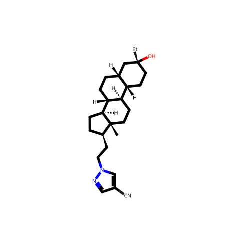 CC[C@@]1(O)CC[C@H]2[C@H](CC[C@@H]3[C@@H]2CC[C@]2(C)[C@@H](CCn4cc(C#N)cn4)CC[C@@H]32)C1